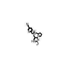 CS[C@@H]1N=C2C(=CN1)C[N+]([O-])(Cc1ccc(C#N)cn1)CC1CCCN21